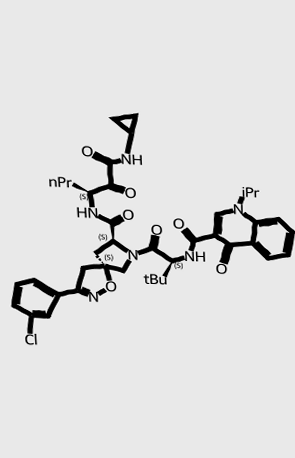 CCC[C@H](NC(=O)[C@@H]1C[C@]2(CC(c3cccc(Cl)c3)=NO2)CN1C(=O)[C@@H](NC(=O)c1cn(C(C)C)c2ccccc2c1=O)C(C)(C)C)C(=O)C(=O)NC1CC1